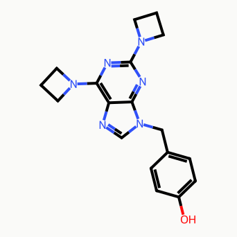 Oc1ccc(Cn2cnc3c(N4CCC4)nc(N4CCC4)nc32)cc1